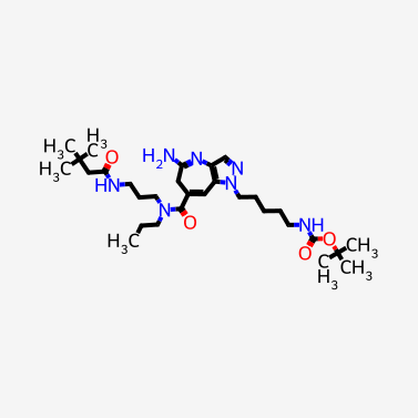 CCCN(CCCNC(=O)CC(C)(C)C)C(=O)C1=Cc2c(cnn2CCCCCNC(=O)OC(C)(C)C)N=C(N)C1